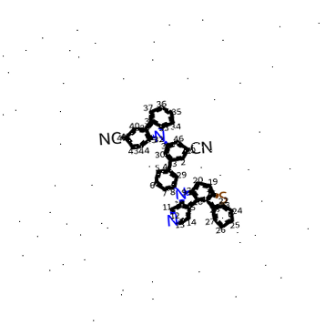 N#Cc1cc(-c2cccc(-n3c4cnccc4c4c5c(ccc43)sc3ccccc35)c2)cc(-n2c3ccccc3c3cc(C#N)ccc32)c1